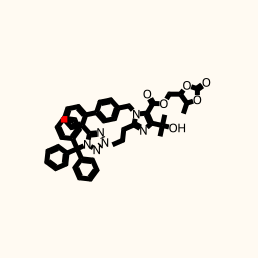 CCCc1nc(C(C)(C)O)c(C(=O)OCC2OC(=O)OC2C)n1Cc1ccc(-c2ccccc2-c2nnnn2C(c2ccccc2)(c2ccccc2)c2ccccc2)cc1